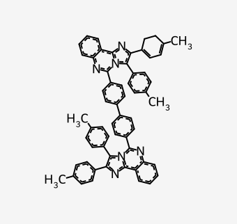 CC1=CC=C(c2nc3c4ccccc4nc(-c4ccc(-c5ccc(-c6nc7ccccc7c7nc(-c8ccc(C)cc8)c(-c8ccc(C)cc8)n67)cc5)cc4)n3c2-c2ccc(C)cc2)CC1